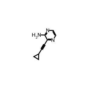 Nc1nccnc1C#CC1CC1